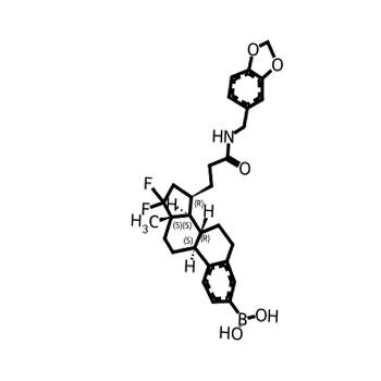 C[C@]12CC[C@@H]3c4ccc(B(O)O)cc4CC[C@H]3[C@@H]1[C@H](CCC(=O)NCc1ccc3c(c1)OCO3)CC2(F)F